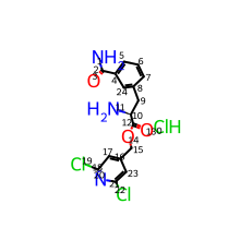 Cl.NC(=O)c1cccc(C[C@H](N)C(=O)OCc2cc(Cl)nc(Cl)c2)c1